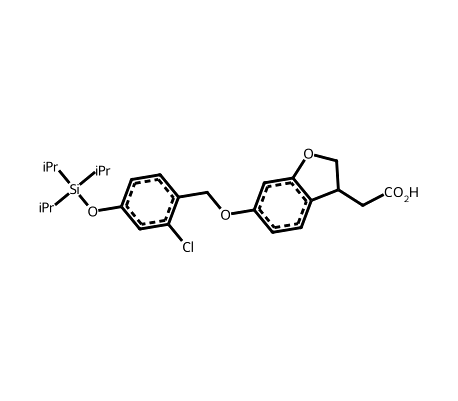 CC(C)[Si](Oc1ccc(COc2ccc3c(c2)OCC3CC(=O)O)c(Cl)c1)(C(C)C)C(C)C